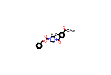 COC(=O)c1ccc(C(=O)N2CCN(C(=O)OCc3ccccc3)CC2)c(C)c1